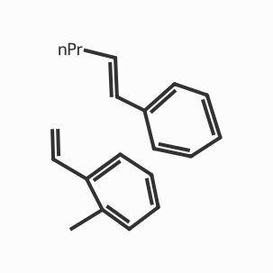 C=Cc1ccccc1C.CCCC=Cc1ccccc1